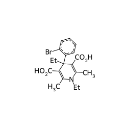 CCN1C(C)=C(C(=O)O)C(CC)(c2ccccc2Br)C(C(=O)O)=C1C